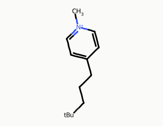 C[n+]1ccc(CCCC(C)(C)C)cc1